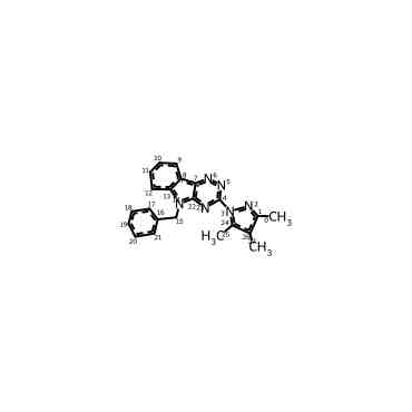 Cc1nn(-c2nnc3c4ccccc4n(Cc4ccccc4)c3n2)c(C)c1C